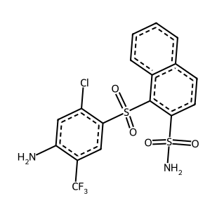 Nc1cc(Cl)c(S(=O)(=O)c2c(S(N)(=O)=O)ccc3ccccc23)cc1C(F)(F)F